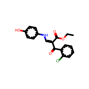 CCOC(=O)C(=CNc1ccc(O)cc1)C(=O)c1ccccc1Cl